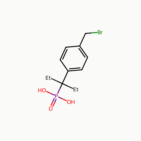 CCC(CC)(c1ccc(CBr)cc1)P(=O)(O)O